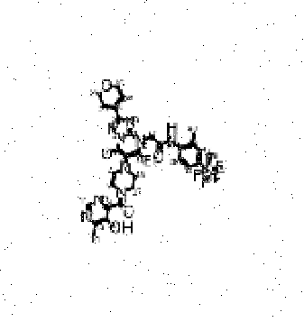 CCc1c(N2CCN(C(=O)c3ncnc(C)c3O)CC2)c(=O)n2nc(C3=CCOCC3)nc2n1CC(=O)Nc1ccc(S(F)(F)(F)(F)F)cc1C